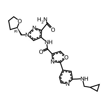 NC(=O)c1nn(C[C@H]2CCCO2)cc1NC(=O)c1coc(-c2ccnc(NCC3CC3)c2)n1